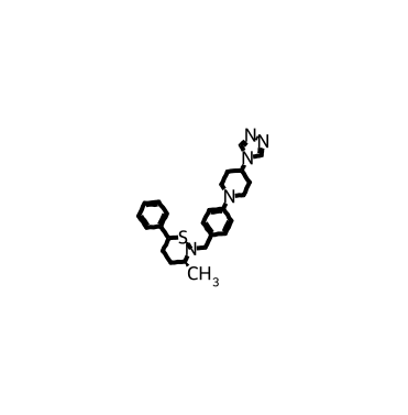 C[C@H]1CCC(c2ccccc2)SN1Cc1ccc(N2CCC(n3cnnc3)CC2)cc1